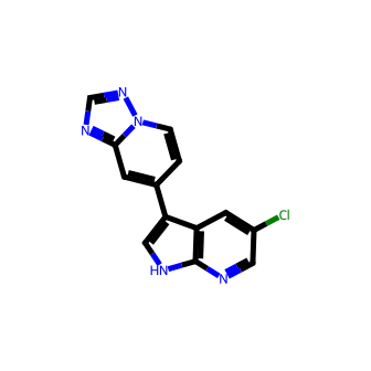 Clc1cnc2[nH]cc(-c3ccn4ncnc4c3)c2c1